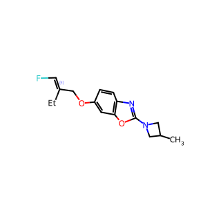 CC/C(=C\F)COc1ccc2nc(N3CC(C)C3)oc2c1